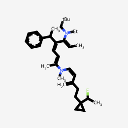 C=C(/C=C\N(C)/C(C)=C/C=C(\C(=C\C)N(CC)CC(C)(C)C)C(C)c1ccccc1)CCC1(C(C)F)CC1